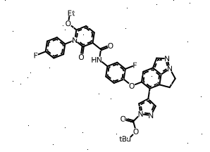 CCOc1ccc(C(=O)Nc2ccc(Oc3cc4cnn5c4c(c3-c3cnn(C(=O)OC(C)(C)C)c3)CC5)c(F)c2)c(=O)n1-c1ccc(F)cc1